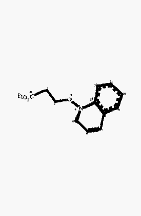 CCOC(=O)CCON1CC=Cc2ccccc21